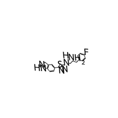 NC(CNc1nnc(-c2ccc3[nH]ncc3c2)s1)Cc1ccc(F)cc1